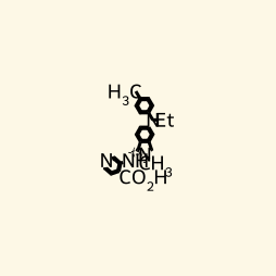 CCN(c1ccc(C)cc1)c1ccc2c(c1)CN(C)[C@@H]2CNc1cnccc1C(=O)O